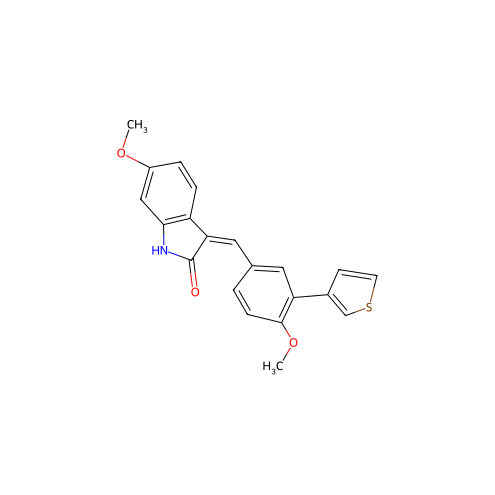 COc1ccc2c(c1)NC(=O)C2=Cc1ccc(OC)c(-c2ccsc2)c1